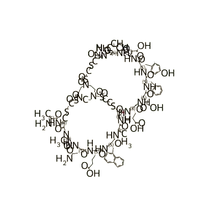 C[C@H](N)C(=O)N[C@H]1CSCCS(=O)(=O)N2CCN3CCN(CC2)S(=O)(=O)CCSC[C@@H](NC(=O)[C@@H](C)NC(=O)[C@H](Cc2cccc4ccccc24)NC(=O)[C@H](CCCC(=O)O)NC(=O)[C@H](CC(N)=O)NC(=O)[C@@H](C)NC1=O)C(=O)N[C@@H](CCC(=O)O)C(=O)N[C@@H](CC(=O)O)C(=O)N[C@@H](Cc1ccccc1)C(=O)N[C@@H](Cc1ccc(O)cc1)C(=O)NC(CC(=O)O)C(=O)N[C@@H](C(C)(C)C)C(=O)N[C@H](C(N)=O)CSCCS3(=O)=O